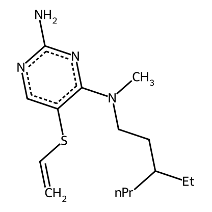 C=CSc1cnc(N)nc1N(C)CCC(CC)CCC